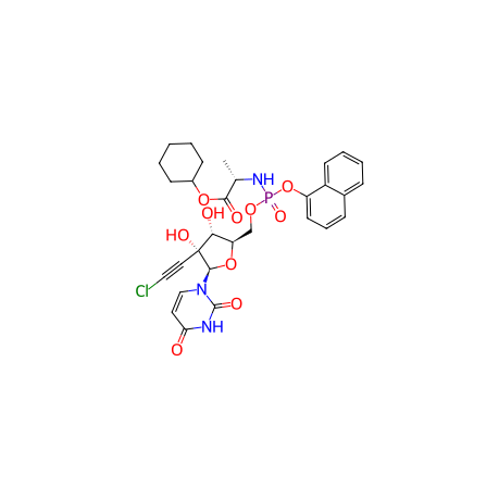 C[C@H](NP(=O)(OC[C@H]1O[C@@H](n2ccc(=O)[nH]c2=O)[C@@](O)(C#CCl)[C@@H]1O)Oc1cccc2ccccc12)C(=O)OC1CCCCC1